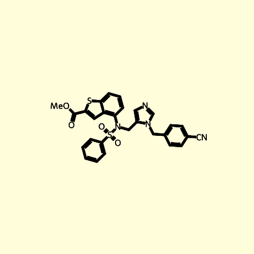 COC(=O)c1cc2c(N(Cc3cncn3Cc3ccc(C#N)cc3)S(=O)(=O)c3ccccc3)cccc2s1